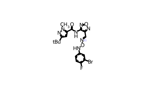 Cn1nc(C(C)(C)C)cc1C(=O)Nc1nonc1/C=N/ONc1ccc(F)c(Br)c1